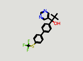 CC(C)(C)C(O)(c1ccc(-c2ccc(SC(F)(F)F)cc2)cc1)c1cncnc1